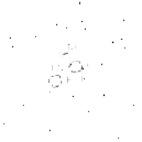 O=NC(=O)c1cc(Cl)c(F)c(F)c1Nc1ccc(I)cc1